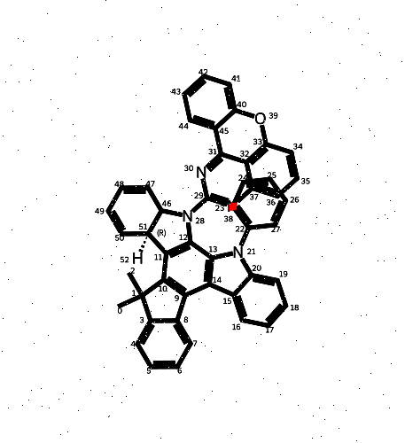 CC1(C)c2ccccc2-c2c1c1c(c3c2c2ccccc2n3-c2ccccc2)N(c2nc3c4c(cccc4n2)Oc2ccccc2-3)C2C=CC=C[C@H]12